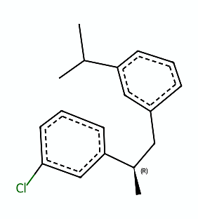 CC(C)c1cccc(C[C@@H](C)c2cccc(Cl)c2)c1